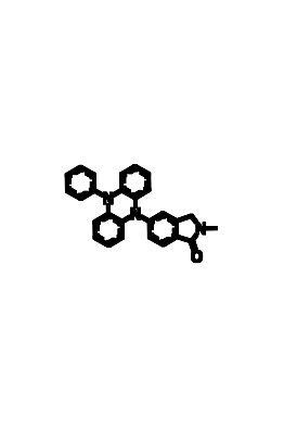 CN1Cc2cc(N3c4ccccc4N(c4ccccc4)c4ccccc43)ccc2C1=O